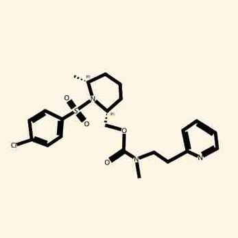 C[C@@H]1CCC[C@H](COC(=O)N(C)CCc2ccccn2)N1S(=O)(=O)c1ccc(Cl)cc1